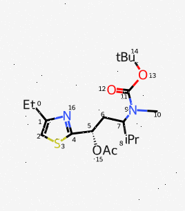 CCc1csc([C@H](CC(C(C)C)N(C)C(=O)OC(C)(C)C)OC(C)=O)n1